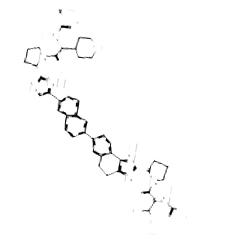 COC(=O)N[C@H](C(=O)N1CCC[C@H]1c1nc2c([nH]1)-c1ccc(-c3ccc4cc(-c5cnc([C@@H]6CCCN6C(=O)[C@@H](NC(=O)OC)C6CCOCC6)[nH]5)ccc4c3)cc1CC2)C(C)C